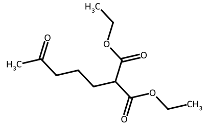 CCOC(=O)C(CCCC(C)=O)C(=O)OCC